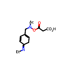 CCN=C1C=CC(CN(OC(=O)CC(=O)O)C(C)=O)=CC1